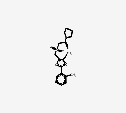 Cc1ccccc1-c1nc(CS(=O)(=O)CC(=O)N2CCCC2)c(C)o1